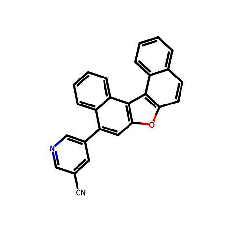 N#Cc1cncc(-c2cc3oc4ccc5ccccc5c4c3c3ccccc23)c1